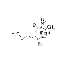 CCCC(C)C1=C\CC(C)/C(N)=C(/CC)C/C(CCC2CC2C)=C\1CC